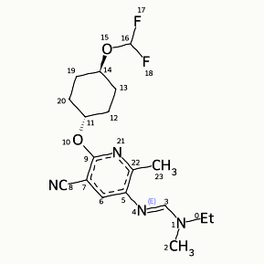 CCN(C)/C=N/c1cc(C#N)c(O[C@H]2CC[C@H](OC(F)F)CC2)nc1C